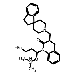 C[SiH](C)OC(CCC(C)(C)C)N1C(=O)C(CN2CCC3(CCc4ccccc43)CC2)Cc2ccccc21